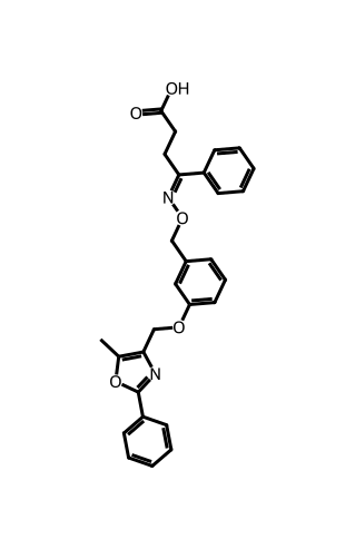 Cc1oc(-c2ccccc2)nc1COc1cccc(CO/N=C(/CCC(=O)O)c2ccccc2)c1